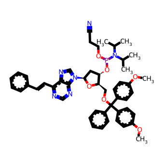 COc1ccc(C(OC[C@H]2O[C@@H](n3cnc4c(C=Cc5ccccc5)ncnc43)C[C@@H]2OP(OCCC#N)N(C(C)C)C(C)C)(c2ccccc2)c2ccc(OC)cc2)cc1